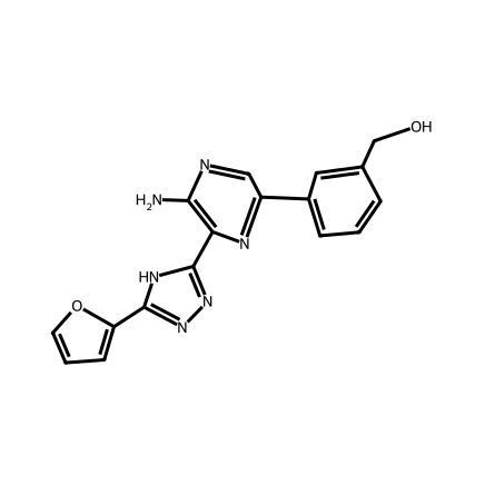 Nc1ncc(-c2cccc(CO)c2)nc1-c1nnc(-c2ccco2)[nH]1